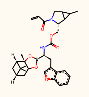 C=CC(=O)N1CC2C(C)C2[C@@H]1COC(=O)N[C@@H](Cc1coc2ccccc12)B1OC2C[C@@H]3C[C@@H](C3(C)C)[C@]2(C)O1